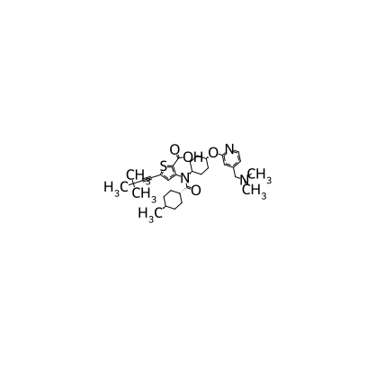 CN(C)Cc1ccnc(O[C@H]2CC[C@@H](N(c3cc(C#CC(C)(C)C)sc3C(=O)O)C(=O)[C@H]3CC[C@H](C)CC3)CC2)c1